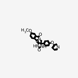 COc1ccc2c(c1)C(=O)N(CC1(c3ccc(Oc4cccnc4)cc3)NC(=O)NC1=O)C2